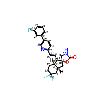 O=C1NC[C@]2(C[C@H]3CC(F)(F)CC[C@@H]3[C@H]2/C=C/c2ccc(-c3cccc(F)c3)cn2)O1